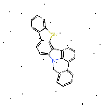 C[SH]1c2ccccc2-c2ccc3c(c21)c1cccc2c1n3Cc1ccccc1-2